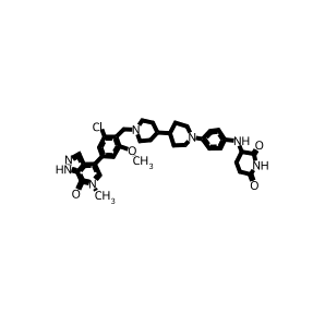 COc1cc(-c2cn(C)c(=O)c3[nH]ncc23)cc(Cl)c1CN1CCC(C2CCN(c3ccc(NC4CCC(=O)NC4=O)cc3)CC2)CC1